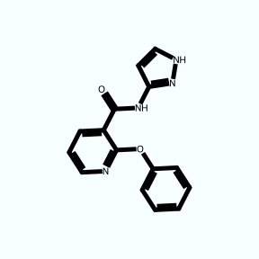 O=C(Nc1cc[nH]n1)c1cccnc1Oc1ccccc1